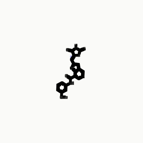 COc1cccc(NC(=O)c2cncc3cc(/C=C4\SC(=S)NC4=O)oc23)c1